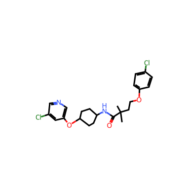 CC(C)(CCOc1ccc(Cl)cc1)C(=O)NC1CCC(Oc2cncc(Cl)c2)CC1